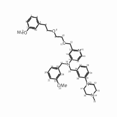 COc1cccc(CCOCCOCc2cc(N(Cc3cccc(OC)c3)Cc3cccc(N4CCN(C)CC4)c3)ccn2)c1